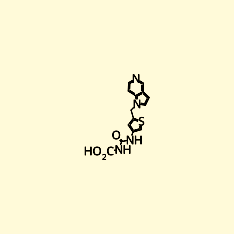 O=C(O)NC(=O)Nc1csc(Cn2ccc3cnccc32)c1